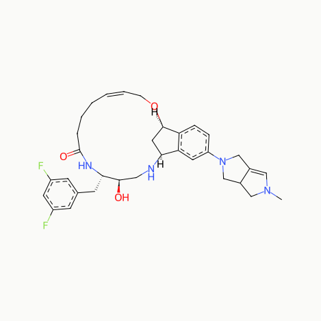 CN1C=C2CN(c3ccc4c(c3)[C@@H]3C[C@H]4OCC=CCCCC(=O)N[C@@H](Cc4cc(F)cc(F)c4)[C@H](O)CN3)CC2C1